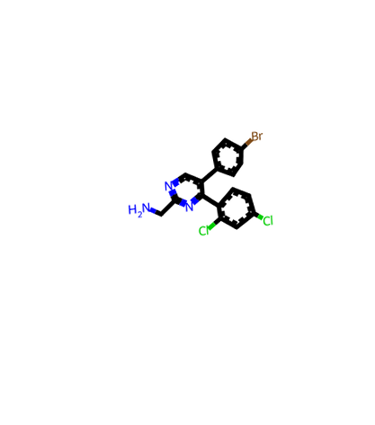 NCc1ncc(-c2ccc(Br)cc2)c(-c2ccc(Cl)cc2Cl)n1